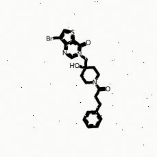 O=C(CCc1ccccc1)N1CCC(O)(Cn2cnc3c(Br)csc3c2=O)CC1